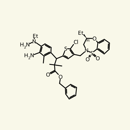 CC[C@@H]1CN(Cc2cc(C(c3ccc(N(N)CC)c(N)c3C)C(C)(C)C(=O)OCc3ccccc3)sc2Cl)S(=O)(=O)c2ccccc2O1